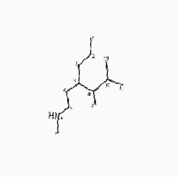 CCCC(CCNC)C(C)C(C)C